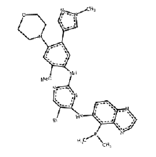 CCc1cnc(Nc2cc(-c3cnn(C)c3)c(N3CCOCC3)cc2OC)nc1Nc1ccc2nccnc2c1P(C)C